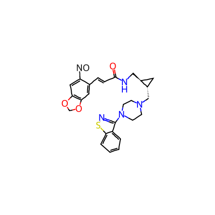 O=Nc1cc2c(cc1/C=C/C(=O)NC[C@H]1C[C@@H]1CN1CCN(c3nsc4ccccc34)CC1)OCO2